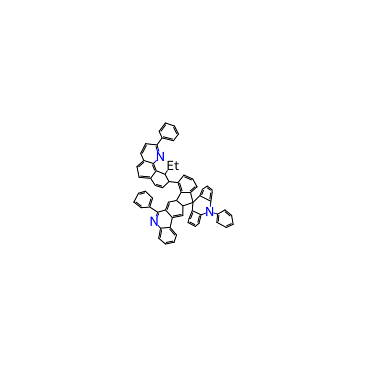 CCC1c2c(ccc3ccc(-c4ccccc4)nc23)C=CC1c1cccc2c1C1C=c3c(-c4ccccc4)nc4ccccc4c3=CC1C21c2ccccc2N(c2ccccc2)c2ccccc21